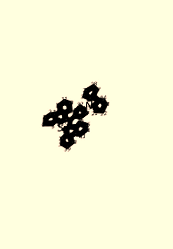 c1ccc2c(c1)c1c(c3ccccc32)C(c2ccc(-n3c4ccccc4c4ccccc43)cc2)c2c(c3ccccc3c3ccccc23)S1